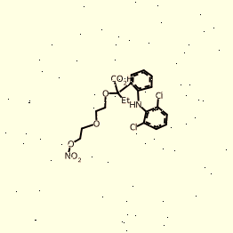 CCC(OCCOCCO[N+](=O)[O-])(C(=O)O)c1ccccc1Nc1c(Cl)cccc1Cl